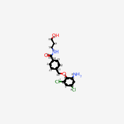 Nc1cc(Cl)cc(Cl)c1OCc1ccc(C(=O)NCCCO)cc1